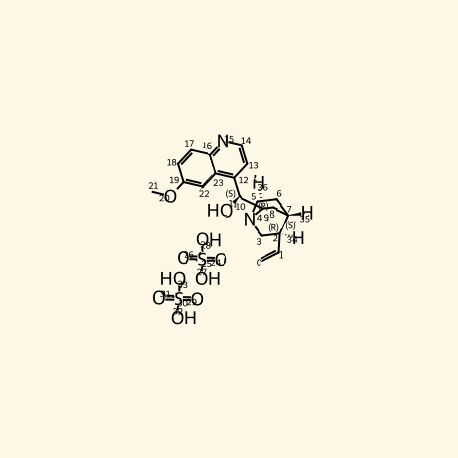 C=C[C@H]1CN2CC[C@H]1C[C@@H]2[C@@H](O)c1ccnc2ccc(OC)cc12.O=S(=O)(O)O.O=S(=O)(O)O